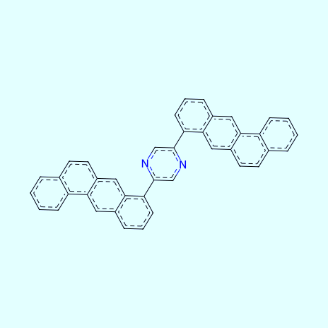 c1cc(-c2cnc(-c3cccc4cc5c(ccc6ccccc65)cc34)cn2)c2cc3ccc4ccccc4c3cc2c1